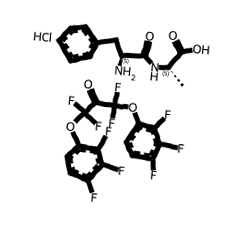 C[C@H](NC(=O)[C@@H](N)Cc1ccccc1)C(=O)O.Cl.O=C(C(F)(F)Oc1ccc(F)c(F)c1F)C(F)(F)Oc1ccc(F)c(F)c1F